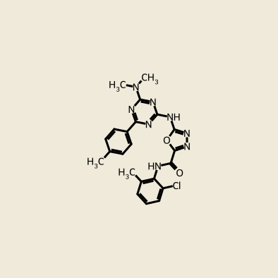 Cc1ccc(-c2nc(Nc3nnc(C(=O)Nc4c(C)cccc4Cl)o3)nc(N(C)C)n2)cc1